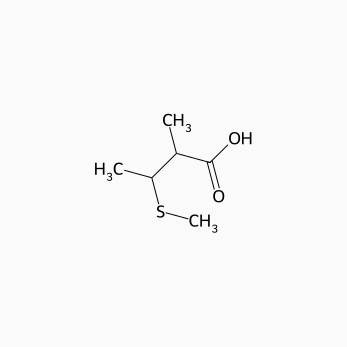 CSC(C)C(C)C(=O)O